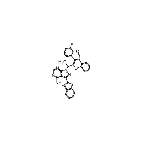 CC(C1=C(c2cccc(F)c2)C(C=O)c2ccccc2O1)n1nc(-c2cc3ccccc3s2)c2c(N)ncnc21